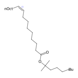 CCCCCCCC/C=C\CCCCCCCC(=O)OC(C)(C)CCCC(C)CC